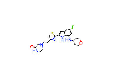 O=C1CN(CCC2CSC(c3cc4cc(F)cc(NC5CCOCC5)c4[nH]3)=N2)CCN1